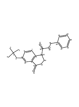 CC(C)(C)Cc1ccc2c(c1)C(=O)CCN2C(=O)OCc1ccccc1